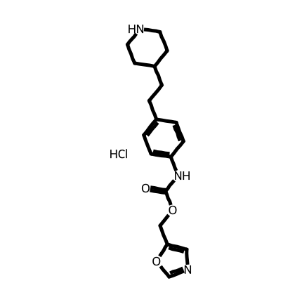 Cl.O=C(Nc1ccc(CCC2CCNCC2)cc1)OCc1cnco1